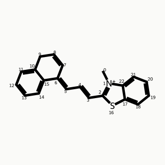 C[n+]1c(C=CC=C2C=CCc3ccccc32)sc2ccccc21